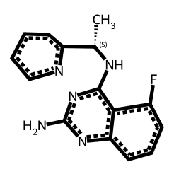 C[C@H](Nc1nc(N)nc2cccc(F)c12)c1ccccn1